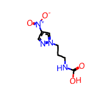 O=C(O)NCCCn1cc([N+](=O)[O-])cn1